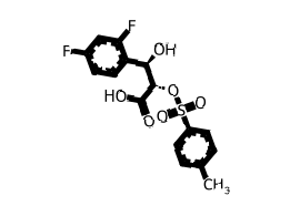 Cc1ccc(S(=O)(=O)O[C@H](C(=O)O)[C@H](O)c2ccc(F)cc2F)cc1